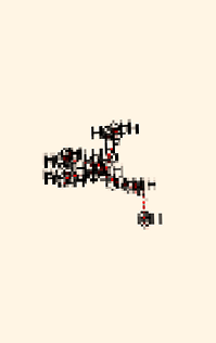 C#COPOCCCCCCCC1C2CCC3=C(CCC12)N(CCOCCOCCC(=O)N1CCC(C(=O)NC(COCCC(=O)NCCCCCCOC2OC(CO)C(O)C(O)C2NC(C)=O)(COCCC(=O)NCCCCCCOC2OC(CO)C(O)C(O)C2NC(C)=O)COCCC(=O)NCCCCCCOC2OC4(CO)C(O)C(O)C24NC(C)=O)CC1)NN3